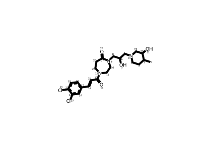 CC1CCN(CC(O)CN2CCN(C(=O)C=Cc3ccc(Cl)c(Cl)c3)CCC2=O)CC1O